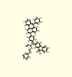 C=CC(C/C=C/c1ccccc1)N(c1ccc(-c2ccc3c4c(cccc24)N(c2ccccc2)c2ccccc2-3)cc1)c1ccc2c(c1)C(C)(C)c1ccccc1-2